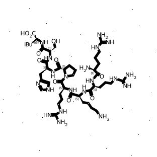 CC[C@H](C)[C@H](NC(=O)[C@H](CO)NC(=O)[C@H](Cc1c[nH]cn1)NC(=O)[C@@H]1CCCN1C(=O)[C@H](CCCNC(=N)N)NC(=O)[C@H](CCCCN)NC(=O)[C@H](CCCNC(=N)N)NC(=O)[C@@H](N)CCCNC(=N)N)C(=O)O